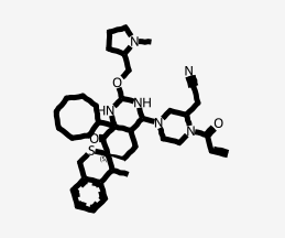 C=CC(=O)N1CCN(C2NC(OCC3CCCN3C)NC3(C4CCCCCCC4)C(=O)[C@@]4(CCC23)SCc2ccccc2C4C)CC1CC#N